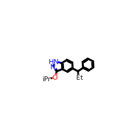 [CH2]CC(c1ccccc1)c1ccc2[nH]nc(OC(C)C)c2c1